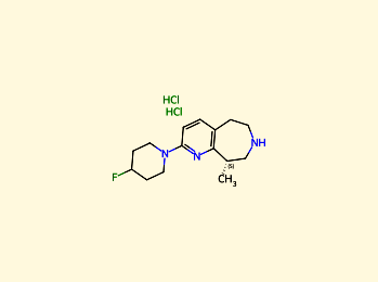 C[C@H]1CNCCc2ccc(N3CCC(F)CC3)nc21.Cl.Cl